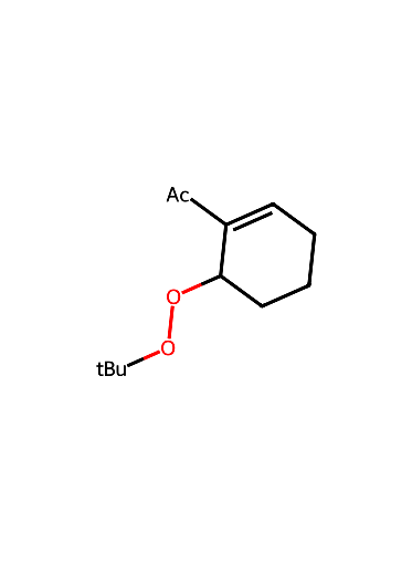 CC(=O)C1=CCCCC1OOC(C)(C)C